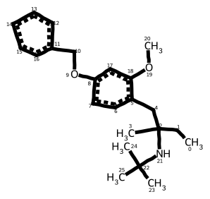 CCC(C)(Cc1ccc(OCc2ccccc2)cc1OC)NC(C)(C)C